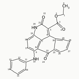 CCOC(=O)c1c2c3c(c(Nc4ccccc4)ccc3[nH]c1=O)C(=O)c1ccccc1-2